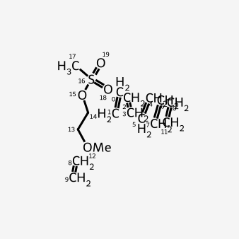 C=C.C=C.C=C.C=C.C=C.C=C.COCCOS(C)(=O)=O